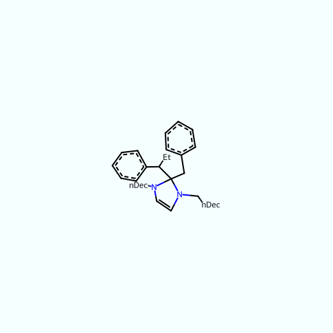 CCCCCCCCCCCN1C=CN(CCCCCCCCCC)C1(Cc1ccccc1)C(CC)c1ccccc1